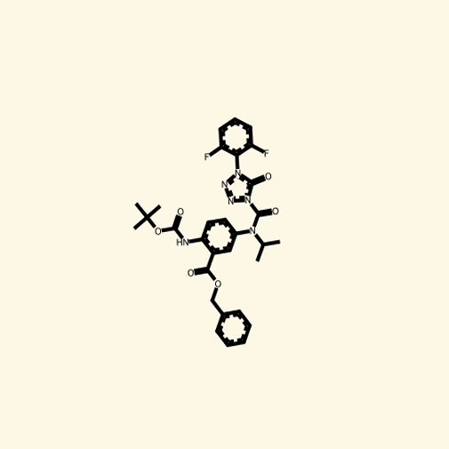 CC(C)N(C(=O)n1nnn(-c2c(F)cccc2F)c1=O)c1ccc(NC(=O)OC(C)(C)C)c(C(=O)OCc2ccccc2)c1